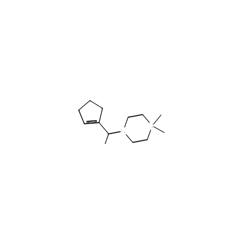 C[Si]1(C)CCN(C(O)C2=CCCC2)CC1